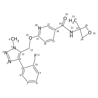 Cn1nnc(-c2ccccc2F)c1COc1ccc(C(=O)NC2(C)COC2)cn1